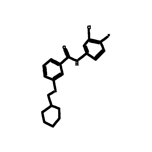 O=C(Nc1ccc(F)c(Cl)c1)c1cccc(SCC2CCCCC2)c1